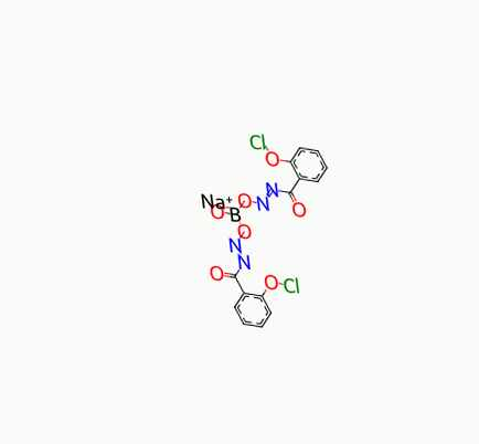 O=C(N=NOB([O-])ON=NC(=O)c1ccccc1OCl)c1ccccc1OCl.[Na+]